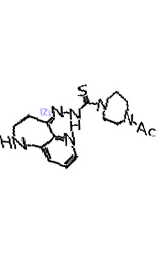 CC(=O)N1CCN(C(=S)N/N=C2/CCNc3cccnc32)CC1